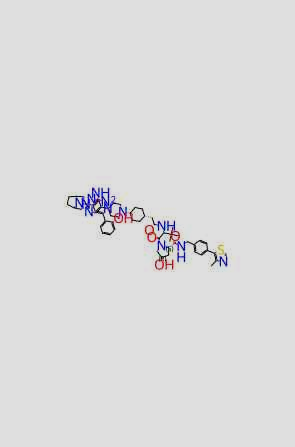 Cc1ncsc1-c1ccc(CNC(=O)[C@@H]2C[C@@H](O)CN2C(=O)C(NC(=O)C[C@H]2CC[C@@H](N3CCC(c4cnc(N5C6CCC5CN(c5cc(-c7ccccc7O)nnc5N)C6)nc4)CC3)CC2)C(C)(C)C)cc1